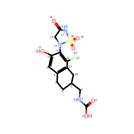 O=C(O)NCC1CCc2cc(O)c(N3CC(=O)NS3(=O)=O)c(F)c2C1